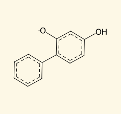 [O]c1cc(O)ccc1-c1ccccc1